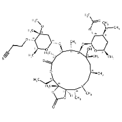 CC[C@H]1OC(=O)[C@H](C)[C@@H](O[C@H]2C[C@@](C)(OC)[C@@H](OCCC#N)[C@H](C)O2)[C@H](C)[C@@H](O[C@@H]2O[C@H](C)C[C@H](N(C)C)[C@H]2OC(C)=O)[C@](C)(O)C[C@@H](C)CN(C)[C@H](C)[C@H]2OC(=O)O[C@@]21C